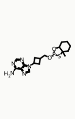 CC12CCCCC1OP(OCC1CC(n3cnc4c(N)ncnc43)C1)S2